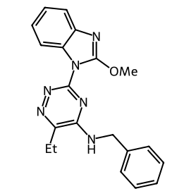 CCc1nnc(-n2c(OC)nc3ccccc32)nc1NCc1ccccc1